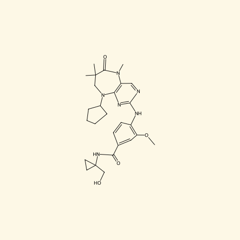 COc1cc(C(=O)NC2(CO)CC2)ccc1Nc1ncc2c(n1)N(C1CCCC1)CC(C)(C)C(=O)N2C